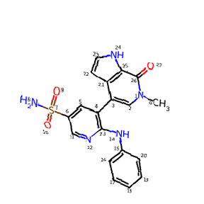 Cn1cc(-c2cc(S(N)(=O)=O)cnc2Nc2ccccc2)c2cc[nH]c2c1=O